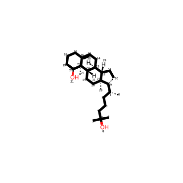 C[C@H](CCCC(C)(C)O)[C@H]1CC[C@H]2[C@@H]3CC=C4C[CH]C[C@H](O)[C@]4(C)[C@H]3CC[C@]12C